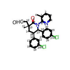 Cc1cccnc1N1C(=O)[C@@](C)(CC=O)C[C@H](c2cccc(Cl)c2)C1c1ccc(Cl)cc1